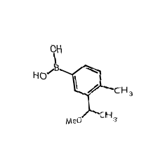 COC(C)c1cc(B(O)O)ccc1C